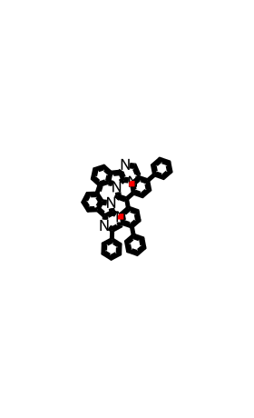 c1ccc(-c2ccc(C(c3ccc(-c4ccccc4)cc3)=c3n4c5nccnc5c5cccc(c6cccc7c8nc(-c9ccccc9)cnc8n3c67)c54)cc2)cc1